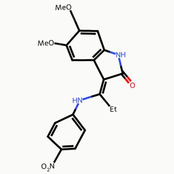 CCC(Nc1ccc([N+](=O)[O-])cc1)=C1C(=O)Nc2cc(OC)c(OC)cc21